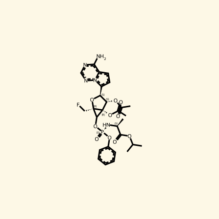 CC(=O)O[C@H]1[C@H](c2ccc3c(N)ncnn23)O[C@]2(CF)C(O[P@@](=O)(N[C@@H](C)C(=O)OC(C)C)Oc3ccccc3)[C@]12OC(C)=O